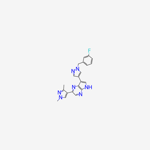 Cc1nn(C)cc1-c1cnc2[nH]cc(-c3cnn(Cc4cccc(F)c4)c3)c2n1